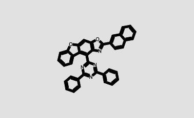 c1ccc(-c2nc(-c3ccccc3)nc(-c3c4nc(-c5ccc6ccccc6c5)oc4cc4oc5ccccc5c34)n2)cc1